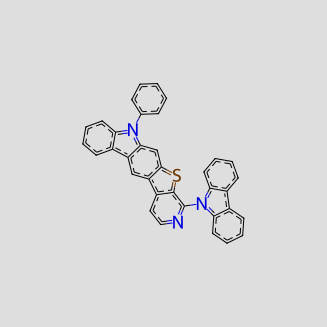 c1ccc(-n2c3ccccc3c3cc4c(cc32)sc2c(-n3c5ccccc5c5ccccc53)nccc24)cc1